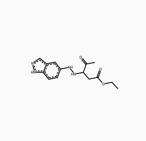 CCOC(=O)CC(NNc1ccc2[nH]ncc2c1)C(C)=O